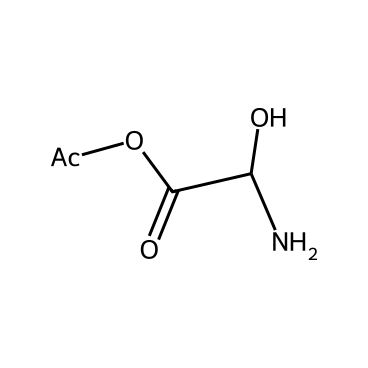 CC(=O)OC(=O)C(N)O